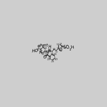 CCCCCC(O)c1ccc(N(NCCCc2ccc(S(=O)(=O)O)o2)C(=O)c2ccccc2)cn1